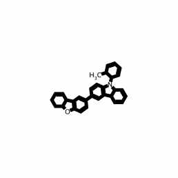 CC1C=CC=CC1N1c2ccc(-c3ccc4c(c3)C3C=CCCC3O4)cc2C2C=CC=CC21